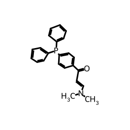 CN(C)C=CC(=O)c1ccc(P(c2ccccc2)c2ccccc2)cc1